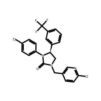 O=C1N(Cc2ccc(Cl)nc2)C[C@H](c2cccc(C(F)(F)F)c2)N1c1ccc(Cl)cc1